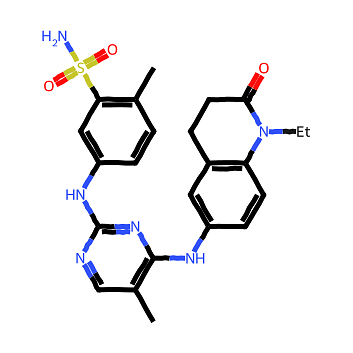 CCN1C(=O)CCc2cc(Nc3nc(Nc4ccc(C)c(S(N)(=O)=O)c4)ncc3C)ccc21